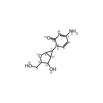 Nc1ccn(C2C3OC(CO)C(O)C32)c(=O)n1